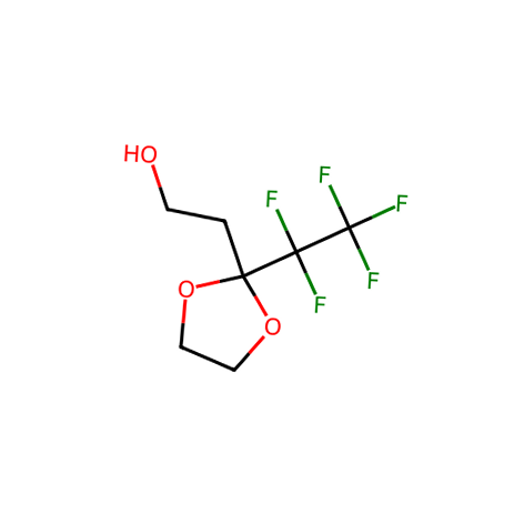 OCCC1(C(F)(F)C(F)(F)F)OCCO1